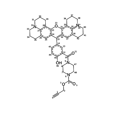 C#CCOC(=O)N1CCN(C(=O)c2cc(C3=c4cc5c6c(c4Oc4c3cc3c7c4CCCN7CCC3)CCC[N+]=6CCC5)ccc2O)CC1